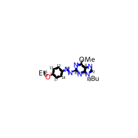 CCCCn1cnc2c(OC)nc(N=Nc3ccc(OCC)cc3)nc21